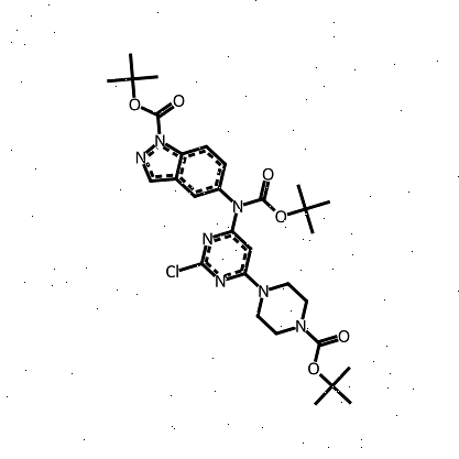 CC(C)(C)OC(=O)N1CCN(c2cc(N(C(=O)OC(C)(C)C)c3ccc4c(cnn4C(=O)OC(C)(C)C)c3)nc(Cl)n2)CC1